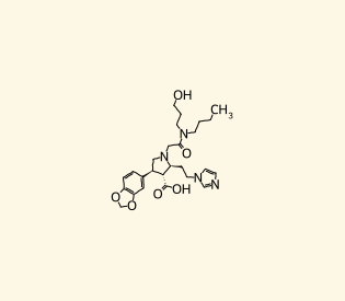 CCCCN(CCCO)C(=O)CN1C[C@H](c2ccc3c(c2)OCO3)[C@@H](C(=O)O)[C@@H]1CCn1ccnc1